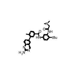 Cc1ccc(C(=O)Nc2ccc(C(C)(C)C)c(NC(=O)CN(C)C)c2)cc1-c1ccc2nc(N)ncc2c1